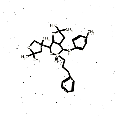 C=P1(CCCc2ccccc2)OC(C2(C)COC(C)(C)C2)C2OC(C)(C)CC2C1Nc1ccc(C)cc1